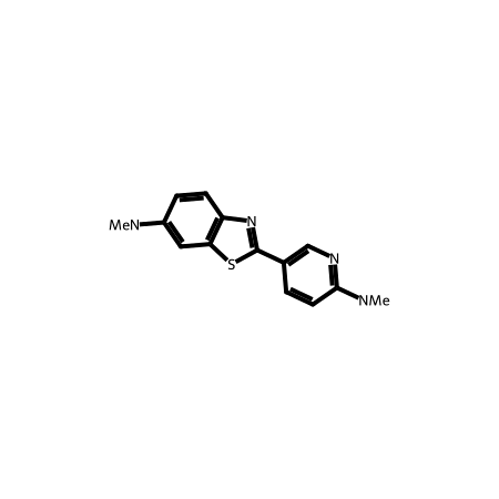 CNc1ccc2nc(-c3ccc(NC)nc3)sc2c1